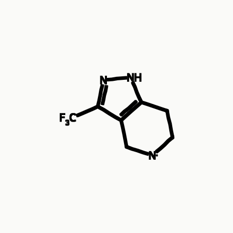 FC(F)(F)c1n[nH]c2c1C[N]CC2